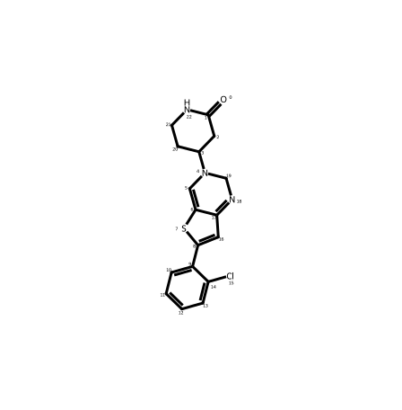 O=C1CC(N2C=c3sc(-c4ccccc4Cl)cc3=NC2)CCN1